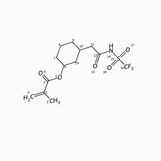 C=C(C)C(=O)OC1CCCC(CC(=O)NS(=O)(=O)C(F)(F)F)C1